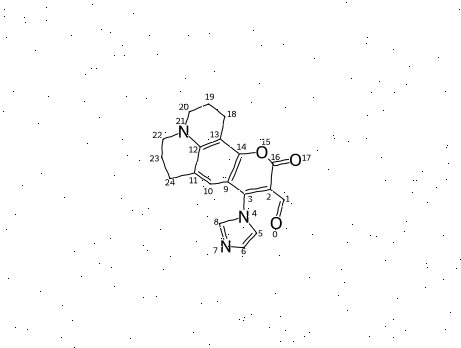 O=Cc1c(-n2ccnc2)c2cc3c4c(c2oc1=O)CCCN4CCC3